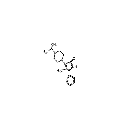 Cc1c(-c2ccccc2)[nH]c(=O)n1C1CCN(C(C)C)CC1